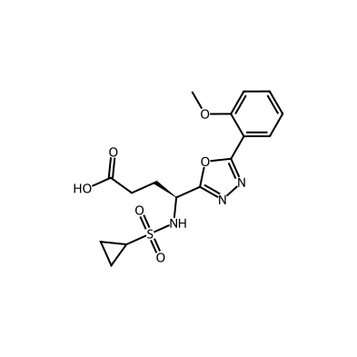 COc1ccccc1-c1nnc([C@H](CCC(=O)O)NS(=O)(=O)C2CC2)o1